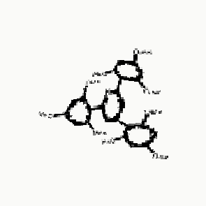 COc1cc(OC)c(-c2cc(-c3c(OC)cc(OC)cc3OC)nc(-c3c(OC)cc(OC)cc3OC)c2)c(OC)c1